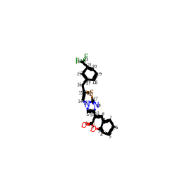 O=c1oc2ccccc2cc1-c1cn2cc(Cc3cccc(C(F)F)c3)sc2n1